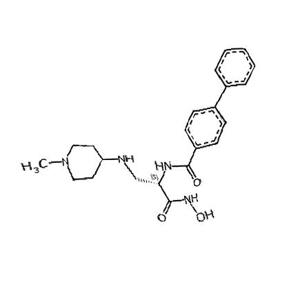 CN1CCC(NC[C@H](NC(=O)c2ccc(-c3ccccc3)cc2)C(=O)NO)CC1